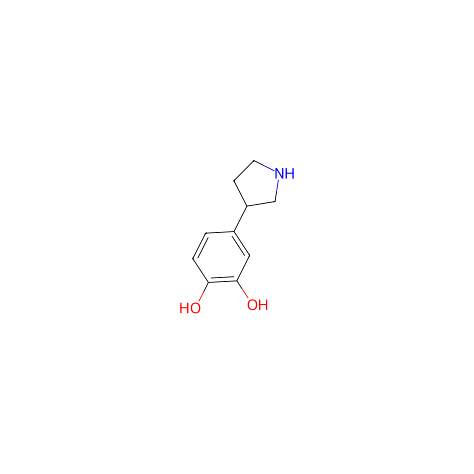 Oc1ccc(C2CCNC2)cc1O